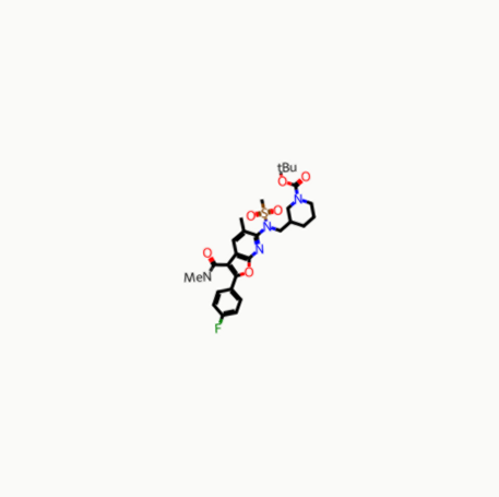 CNC(=O)c1c(-c2ccc(F)cc2)oc2nc(N(CC3CCCN(C(=O)OC(C)(C)C)C3)S(C)(=O)=O)c(C)cc12